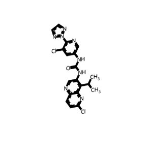 CC(C)c1c(NC(=O)Nc2cnc(-n3nccn3)c(Cl)c2)cnc2ccc(Cl)nc12